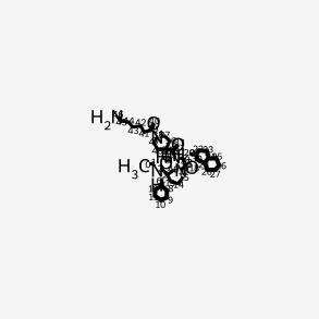 CCNC(=O)[C@]1(Cc2ccccc2)CCCN(C(=O)[C@@H](Cc2ccc3ccccc3c2)NC(=O)C2(C)CCN(C(=O)CCCCCN)CC2)C1